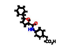 O=C(O)Cc1ccc(NC(=O)c2ccc(-c3ccccc3)o2)cc1